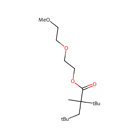 COCCOCCOC(=O)C(C)(CC(C)(C)C)C(C)(C)C